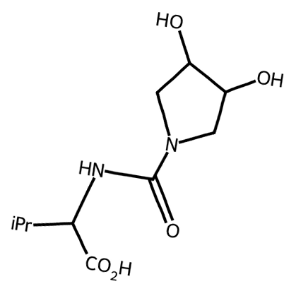 CC(C)C(NC(=O)N1CC(O)C(O)C1)C(=O)O